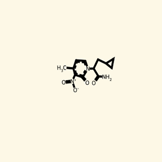 Cc1ccn(C(CC2CC2)C(N)=O)c(=O)c1[N+](=O)[O-]